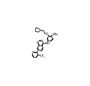 CC(C)(C)c1ccc(Nc2ncnc3cc(-c4ncccc4C(F)(F)F)ccc23)cc1OCCN1CCCC1